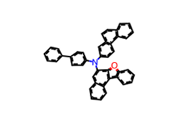 c1ccc(-c2ccc(N(c3ccc4c(ccc5ccccc54)c3)c3cc4ccccc4c4c3oc3ccccc34)cc2)cc1